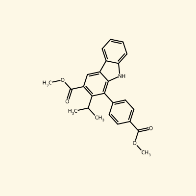 COC(=O)c1ccc(-c2c(C(C)C)c(C(=O)OC)cc3c2[nH]c2ccccc23)cc1